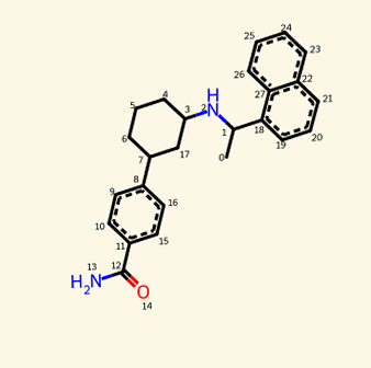 CC(NC1CCCC(c2ccc(C(N)=O)cc2)C1)c1cccc2ccccc12